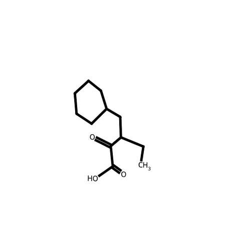 CCC(CC1CCCCC1)C(=O)C(=O)O